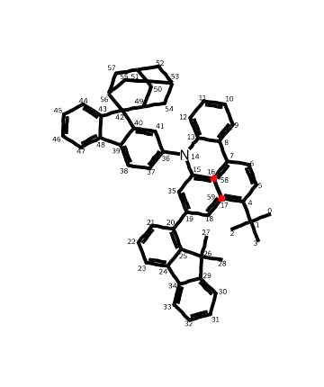 CC(C)(C)c1ccc(-c2ccccc2N(c2cccc(-c3cccc4c3C(C)(C)c3ccccc3-4)c2)c2ccc3c(c2)C2(c4ccccc4-3)C3CC4CC(C3)CC2C4)cc1